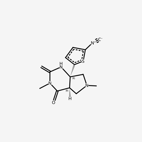 [C-]#[N+]c1ccc([C@]23CN(C)C[C@H]2C(=O)N(C)C(=C)N3)s1